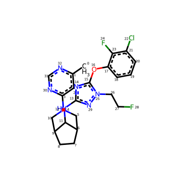 Cc1cc(N2CC3CCC(C2)C3Nc2nc(Oc3cccc(Cl)c3F)n(CCF)n2)ncn1